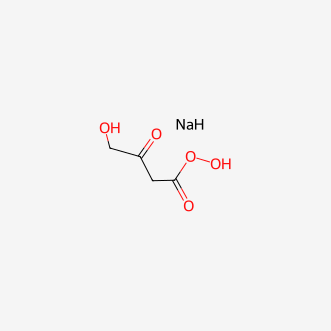 O=C(CO)CC(=O)OO.[NaH]